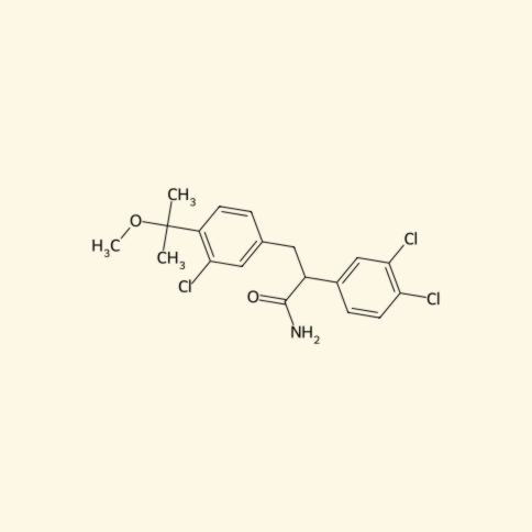 COC(C)(C)c1ccc(CC(C(N)=O)c2ccc(Cl)c(Cl)c2)cc1Cl